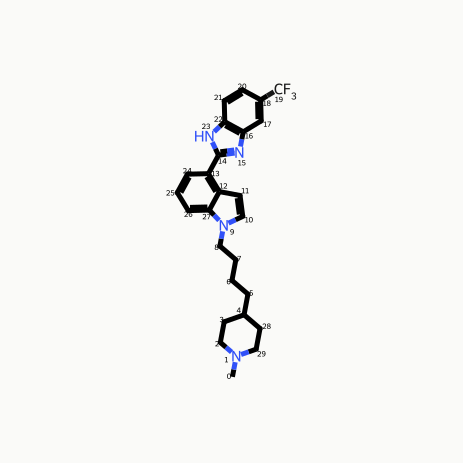 CN1CCC(CCCCn2ccc3c(-c4nc5cc(C(F)(F)F)ccc5[nH]4)cccc32)CC1